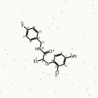 CCCc1ccc(SC(CC)C(=O)NCc2ccc(F)cc2)c(Cl)c1